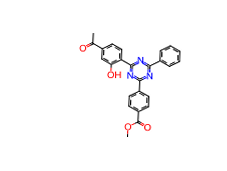 COC(=O)c1ccc(-c2nc(-c3ccccc3)nc(-c3ccc(C(C)=O)cc3O)n2)cc1